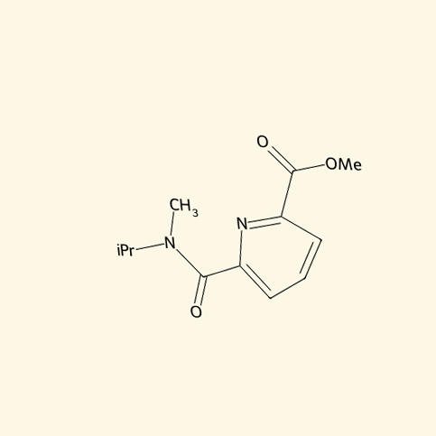 COC(=O)c1cccc(C(=O)N(C)C(C)C)n1